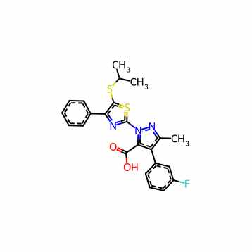 Cc1nn(-c2nc(-c3ccccc3)c(SC(C)C)s2)c(C(=O)O)c1-c1cccc(F)c1